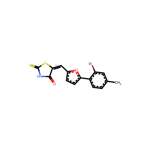 Cc1ccc(-c2ccc(/C=C3/SC(=S)NC3=O)o2)c(Br)c1